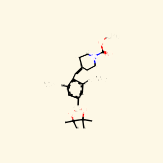 COc1cc(B2OC(C)(C)C(C)(C)O2)cc(OC)c1C=C1CCN(C(=O)OC(C)(C)C)CC1